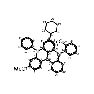 COc1ccc2c(c1)N(c1ccccc1)c1cc(C3CCCCC3)cc3c1B2c1ccccc1N3c1ccccc1OC